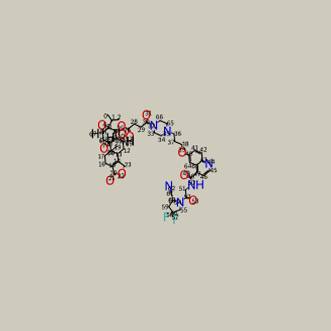 CC(C)[C@]12O[C@H]1[C@@H]1O[C@]13[C@]1(O[C@H]1CC1C4=C(CC[C@@]13C)C(=O)OC4)[C@@H]2OC(=O)CCC(=O)N1CCN(CCCOc2ccc3nccc(C(=O)NCC(=O)N4CC(F)(F)C[C@H]4C#N)c3c2)CC1